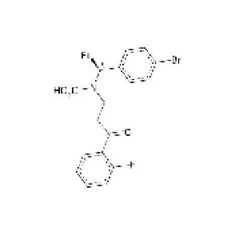 CC[C@@H](c1ccc(Br)cc1)N(CCC(=O)c1ccccc1F)C(=O)O